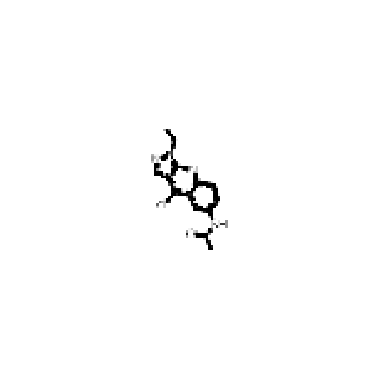 CCn1ncc2c(Cl)c3cc(NC(C)=O)ccc3nc21